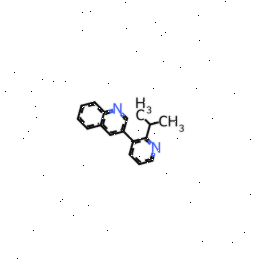 CC(C)c1ncccc1-c1cnc2ccccc2c1